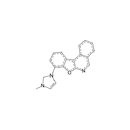 CN1C=CN(c2cccc3c2oc2ncc4ccccc4c23)C1